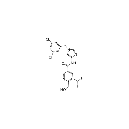 O=C(Nc1cn(Cc2cc(Cl)cc(Cl)c2)cn1)c1cnc(CO)c(C(F)F)c1